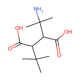 CC(C)(C)C(C(=O)O)C(C(=O)O)C(C)(C)N